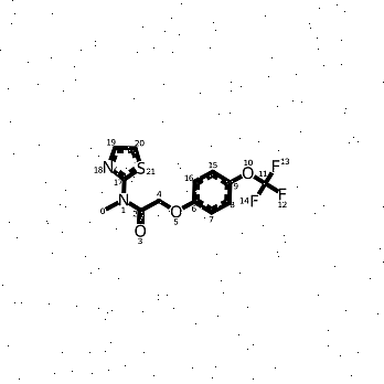 CN(C(=O)COc1ccc(OC(F)(F)F)cc1)c1nccs1